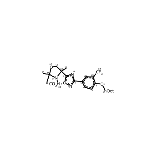 CCCCCCCCOc1ccc(-c2noc(C3(C)COC(C)(C)N3C(=O)O)n2)cc1C(F)(F)F